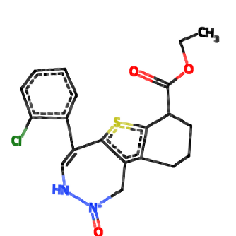 CCOC(=O)C1CCCc2c1sc1c2C[N+](=O)NC=C1c1ccccc1Cl